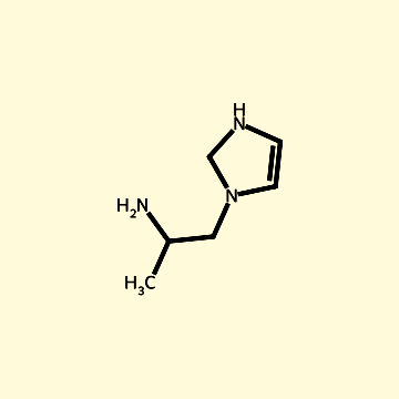 CC(N)CN1C=CNC1